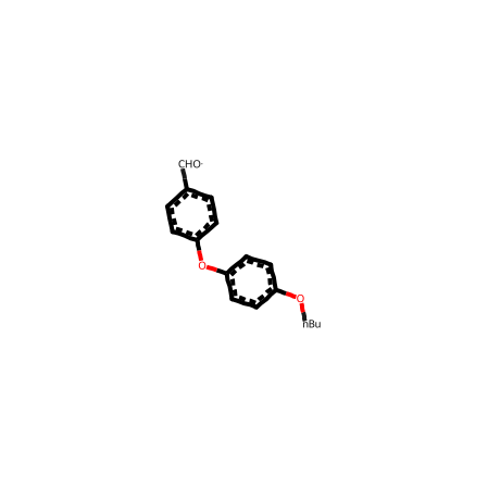 CCCCOc1ccc(Oc2ccc([C]=O)cc2)cc1